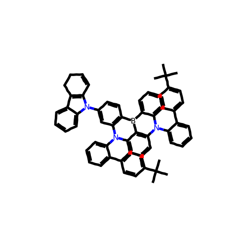 CC(C)(C)c1ccc(-c2ccccc2N2c3ccccc3B3c4ccc(-n5c6c(c7ccccc75)CCC=C6)cc4N(c4ccccc4-c4ccc(C(C)(C)C)cc4)c4cccc2c43)cc1